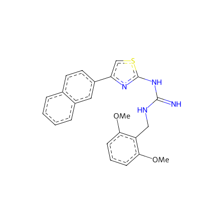 COc1cccc(OC)c1CNC(=N)Nc1nc(-c2ccc3ccccc3c2)cs1